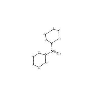 [O]=[Sn]([CH]1CCCCC1)[CH]1CCCCC1